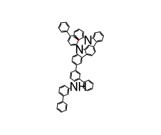 c1ccc(-c2ccc(-n3c4ccc(-c5ccc(Nc6cccc(-c7ccccc7)c6)c(-c6ccccc6)c5)cc4c4ccc5c6ccccc6n(-c6ccccc6)c5c43)cc2)cc1